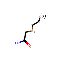 [NH]C(=O)CSCCC(=O)O